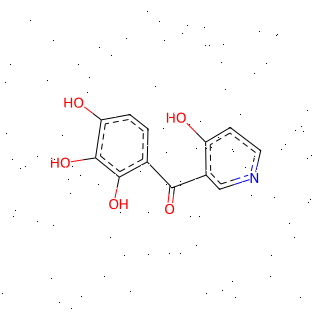 O=C(c1cnccc1O)c1ccc(O)c(O)c1O